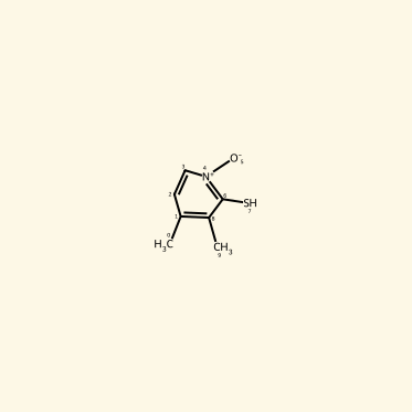 Cc1cc[n+]([O-])c(S)c1C